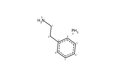 NCCc1ccccc1.P